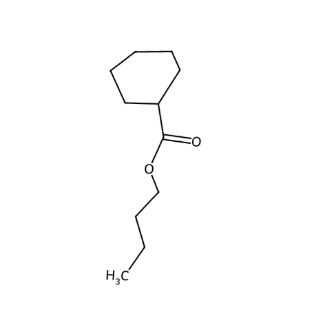 CCCCOC(=O)C1CCCCC1